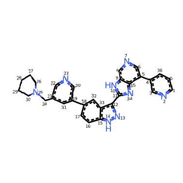 c1cncc(-c2cncc3[nH]c(-c4n[nH]c5ccc(-c6cncc(CN7CCCCC7)c6)cc45)nc23)c1